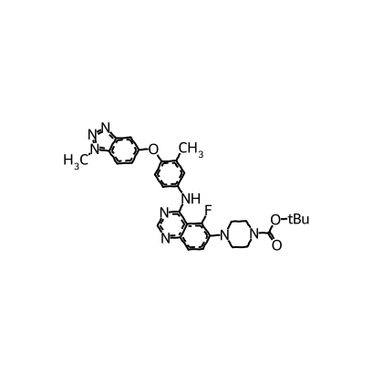 Cc1cc(Nc2ncnc3ccc(N4CCN(C(=O)OC(C)(C)C)CC4)c(F)c23)ccc1Oc1ccc2c(c1)nnn2C